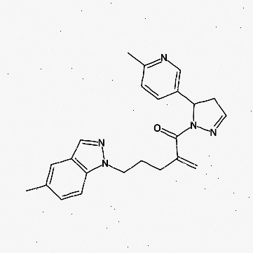 C=C(CCCn1ncc2cc(C)ccc21)C(=O)N1N=CCC1c1ccc(C)nc1